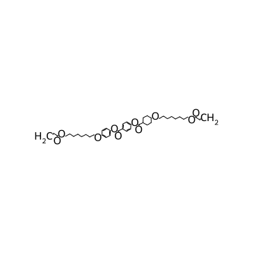 C=CC(=O)OCCCCCCCCOc1ccc(OC(=O)c2ccc(OC(=O)C3CCC(OCCCCCCCCOC(=O)C=C)CC3)cc2)cc1